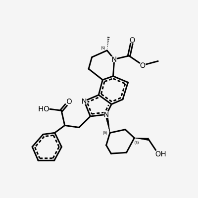 COC(=O)N1c2ccc3c(nc(CC(C(=O)O)c4ccccc4)n3[C@@H]3CCC[C@H](CO)C3)c2CC[C@@H]1C